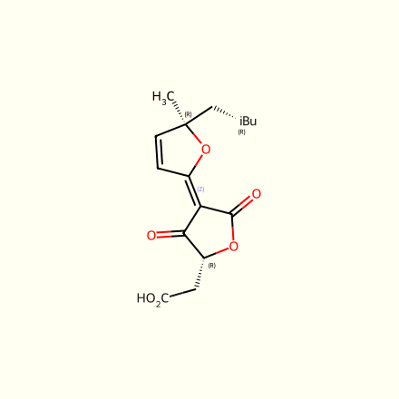 CC[C@@H](C)C[C@]1(C)C=C/C(=C2/C(=O)O[C@H](CC(=O)O)C2=O)O1